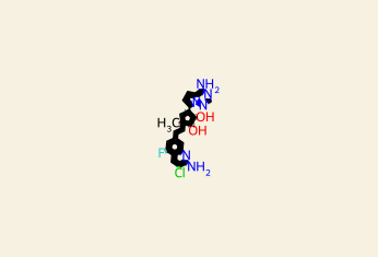 C[C@]1(CCc2cc(F)c3cc(Cl)c(N)nc3c2)C[C@@H](c2ccc3c(N)ncnn23)[C@H](O)[C@@H]1O